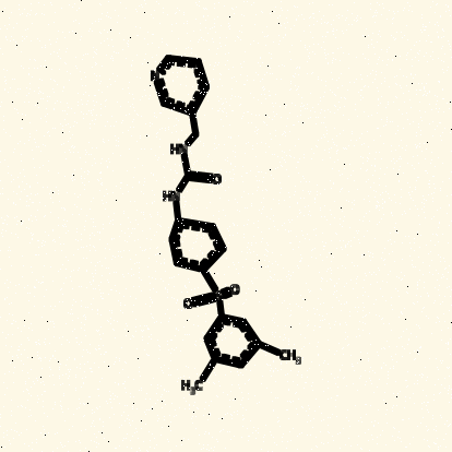 Cc1cc(C)cc(S(=O)(=O)c2ccc(NC(=O)NCc3cccnc3)cc2)c1